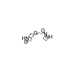 CN(C(=O)CCCOc1ccc2c(c1)CCC(=O)N2)C1CCCCN1